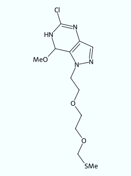 COC1NC(Cl)=Nc2cnn(CCOCCOCSC)c21